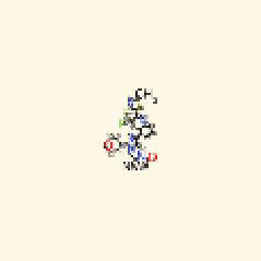 CNC(=O)N1CCn2c(C3CCOCC3)nc(-c3cccc4nc(-c5cnc(C)s5)c(C(F)F)cc34)c2C1